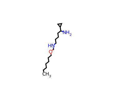 CCCCCCCOCNCCCCC(N)C1CC1